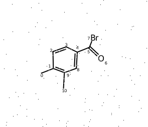 Cc1ccc(C(=O)Br)cc1C